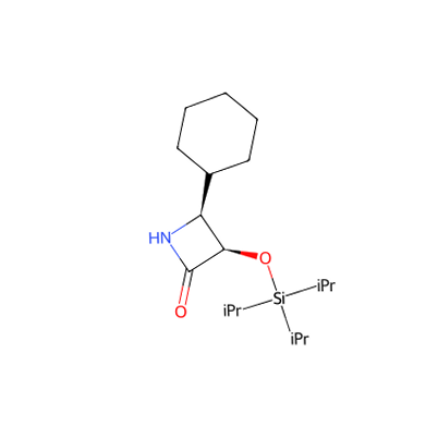 CC(C)[Si](O[C@H]1C(=O)N[C@H]1C1CCCCC1)(C(C)C)C(C)C